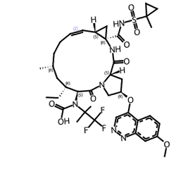 CC[C@@H]1C[C@H](C)CC/C=C\[C@@H]2C[C@@]2(C(=O)NS(=O)(=O)C2(C)CC2)NC(=O)[C@@H]2C[C@@H](Oc3cnnc4cc(OC)ccc34)CN2C(=O)[C@H]1N(C(=O)O)C(C)(C)C(F)(F)F